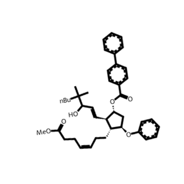 CCCCC(C)(C)C(O)/C=C/[C@@H]1[C@@H](CC/C=C\CCC(=O)OC)[C@H](Oc2ccccc2)C[C@H]1OC(=O)c1ccc(-c2ccccc2)cc1